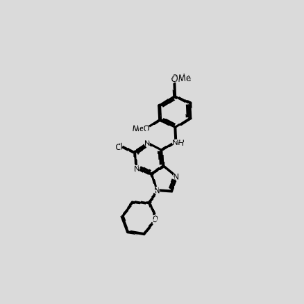 COc1ccc(Nc2nc(Cl)nc3c2ncn3C2CCCCO2)c(OC)c1